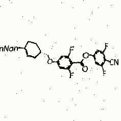 CCCCCCCCC[C@H]1CC[C@H](COc2cc(F)c(C(=O)Oc3cc(F)c(C#N)c(F)c3)c(F)c2)CC1